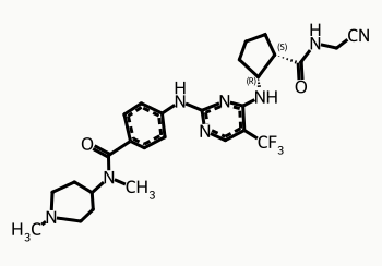 CN1CCC(N(C)C(=O)c2ccc(Nc3ncc(C(F)(F)F)c(N[C@@H]4CCC[C@@H]4C(=O)NCC#N)n3)cc2)CC1